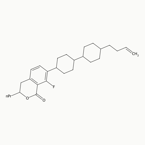 C=CCCC1CCC(C2CCC(c3ccc4c(c3F)C(=O)OC(CCC)C4)CC2)CC1